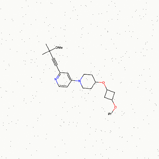 COC(C)(C)C#Cc1cc(N2CCC(OC3CC(OC(C)C)C3)CC2)ccn1